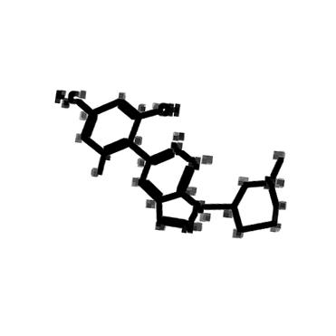 Cc1cc(C(F)(F)F)cc(O)c1-c1cc2cnn(C3CCCN(C)C3)c2nn1